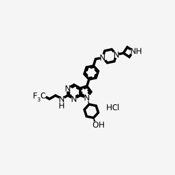 Cl.O[C@H]1CC[C@H](n2cc(-c3ccc(CN4CCN(C5CNC5)CC4)cc3)c3cnc(NCCC(F)(F)F)nc32)CC1